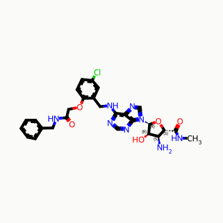 CNC(=O)[C@H]1O[C@@H](n2cnc3c(NCc4cc(Cl)ccc4OCC(=O)NCc4ccccc4)ncnc32)[C@H](O)[C@@H]1N